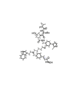 Cc1ncsc1-c1ccc(CNC(=O)[C@@H]2C[C@@H](O)CN2C(=O)[C@@H](NC(=O)C2(F)CC2)C(C)(C)C)c(OCCCCCN(CCc2c[nH]c3ccccc23)Cc2ccc(/C=C/C(=O)NO)cc2)c1